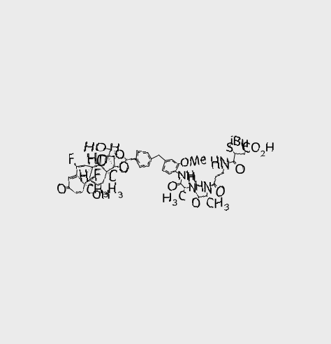 CCC(C)SC(CC(=O)O)C(=O)NCCC(=O)N[C@@H](C)C(=O)N[C@@H](C)C(=O)Nc1ccc(Cc2ccc([C@@H]3O[C@@H]4C[C@H]5[C@@H]6C[C@H](F)C7=CC(=O)C=C[C@]7(C)[C@@]6(F)[C@@H](O)C[C@]5(C)[C@]4(C(=O)CO)O3)cc2)cc1OC